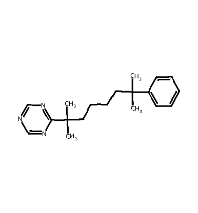 CC(C)(CCCCC(C)(C)c1ncncn1)c1ccccc1